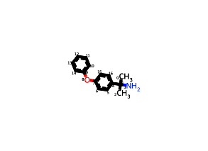 CC(C)(N)c1ccc(Oc2ccccc2)cc1